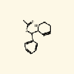 CC(=O)OC(c1ccccc1)C1C#CCCN1